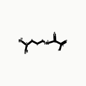 C=C(C)C(=O)NCCCN(CC)CC